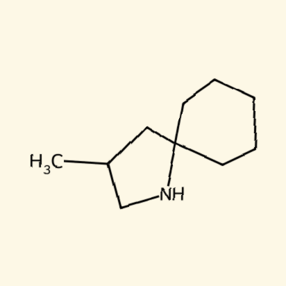 CC1CNC2(CCCCC2)C1